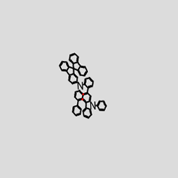 c1ccc(-c2ccc(N(c3ccc4c(c3)C3(c5ccccc5-c5ccccc53)c3ccccc3-4)c3ccccc3-c3ccc4c5ccccc5n(-c5ccccc5)c4c3)cc2)cc1